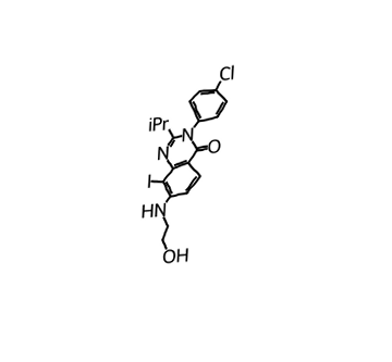 CC(C)c1nc2c(I)c(NCCO)ccc2c(=O)n1-c1ccc(Cl)cc1